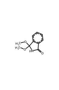 COC1(OC)NC(=O)c2ccccc21